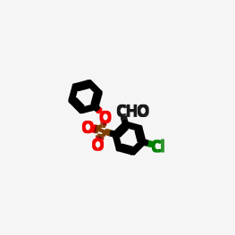 O=Cc1cc(Cl)ccc1S(=O)(=O)Oc1ccccc1